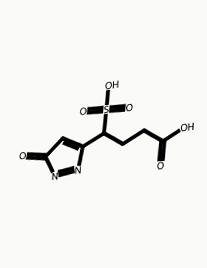 O=C(O)CCC(C1=CC(=O)N=N1)S(=O)(=O)O